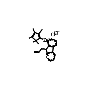 C=CCC1c2ccccc2-c2ccc[c]([Zr+2][C]3=C(C)C(C)=C(C)C3(C)C)c21.[Cl-].[Cl-]